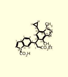 CCOC(=O)CC(c1ccc2ccn(C(=O)O)c2c1)c1cc(C2CC2)c2c(nnn2C)c1C